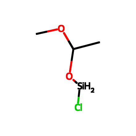 COC(C)O[SiH2]Cl